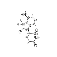 CNc1cccc2c1C(C)(C)C(=O)N2C1CCC(=O)NC1=O